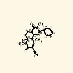 CC1C(=O)C(C#N)=C[C@]2(C)c3nc(-c4ccccc4)n(C)c(=O)c3CC[C@@H]12